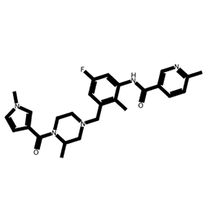 Cc1ccc(C(=O)Nc2cc(F)cc(CN3CCN(C(=O)c4ccn(C)c4)C(C)C3)c2C)cn1